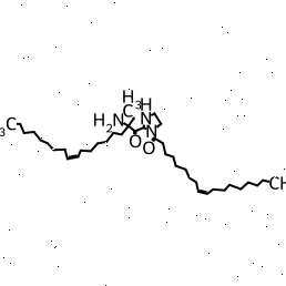 CCCCCCCC/C=C\CCCCCCCC(=O)N1CCNC1C(=O)C(N)(CC)CCCCCC/C=C\CCCCCCCC